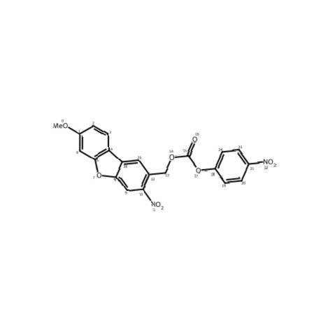 COc1ccc2c(c1)oc1cc([N+](=O)[O-])c(COC(=O)Oc3ccc([N+](=O)[O-])cc3)cc12